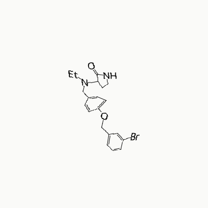 CCN(Cc1ccc(OCc2cccc(Br)c2)cc1)C1CCNC1=O